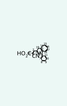 N#C/C(=C\C1=CN(c2ccccc2)C2=C(CC=CC=C2)C1)C(=O)O